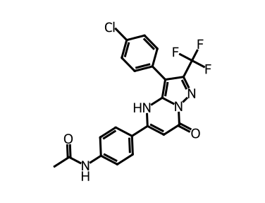 CC(=O)Nc1ccc(-c2cc(=O)n3nc(C(F)(F)F)c(-c4ccc(Cl)cc4)c3[nH]2)cc1